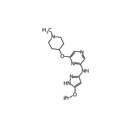 CC(C)Oc1cc(Nc2cncc(OC3CCN(C)CC3)n2)n[nH]1